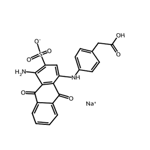 Nc1c(S(=O)(=O)[O-])cc(Nc2ccc(CC(=O)O)cc2)c2c1C(=O)c1ccccc1C2=O.[Na+]